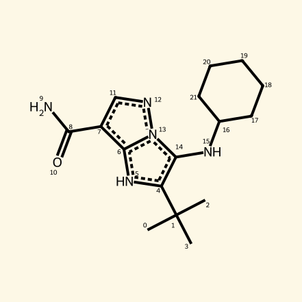 CC(C)(C)c1[nH]c2c(C(N)=O)cnn2c1NC1CCCCC1